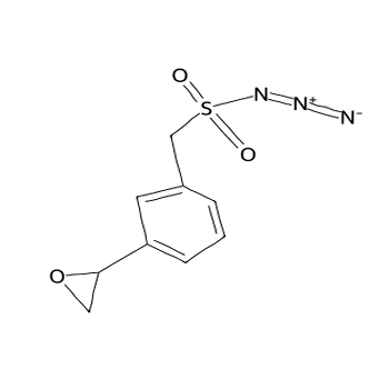 [N-]=[N+]=NS(=O)(=O)Cc1cccc(C2CO2)c1